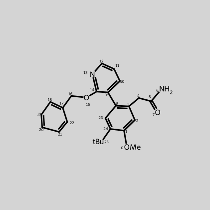 COc1cc(CC(N)=O)c(-c2cccnc2OCc2ccccc2)cc1C(C)(C)C